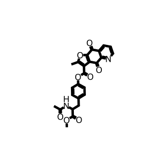 COC(=O)C(Cc1ccc(OC(=O)c2c(C)oc3c2C(=O)c2ncccc2C3=O)cc1)NC(C)=O